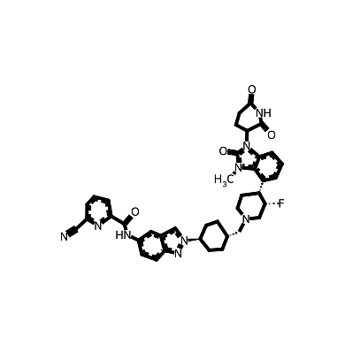 Cn1c(=O)n(C2CCC(=O)NC2=O)c2cccc([C@H]3CCN(C[C@H]4CC[C@H](n5cc6cc(NC(=O)c7cccc(C#N)n7)ccc6n5)CC4)C[C@H]3F)c21